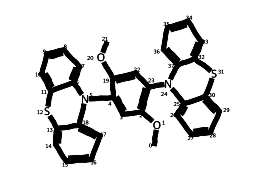 COc1cc(N2c3ccccc3Sc3ccccc32)c(OC)cc1N1c2ccccc2Sc2ccccc21